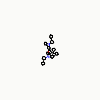 C1=CC(C2(c3ccccc3)c3ccccc3-c3cccc(-c4cc(-c5ccc6c(c5)c5ccccc5n6-c5cccc(-c6ccccc6)c5)ccc4Nc4cccc(-c5ccccc5)c4)c32)=CCC1